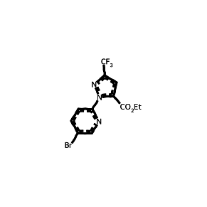 CCOC(=O)c1cc(C(F)(F)F)nn1-c1ccc(Br)cn1